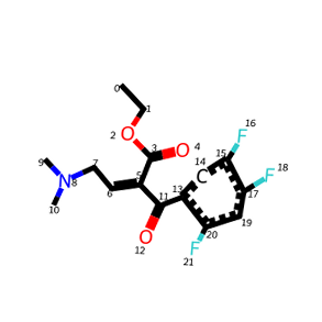 CCOC(=O)/C(=C\CN(C)C)C(=O)c1cc(F)c(F)cc1F